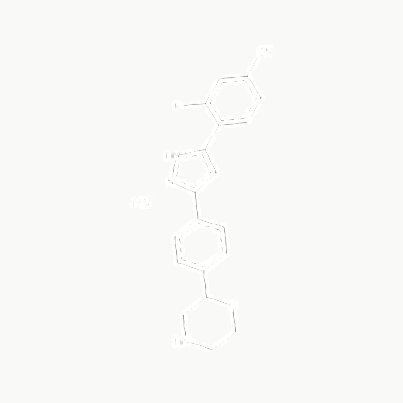 Cl.N#Cc1ccc(-c2cc(-c3ccc(C4CNCCO4)cc3)n[nH]2)c(F)c1